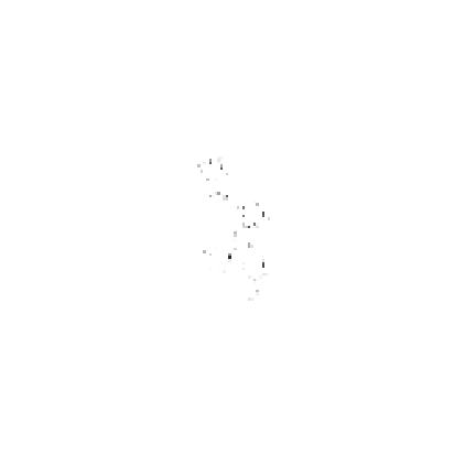 NCc1ccc(-c2nc3ccnc(CNC(=O)c4ccncc4)c3cc2-c2ccccc2)cc1